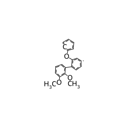 COc1cccc(-c2cc[c]cc2Oc2ccccc2)c1OC